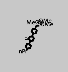 CCCc1ccc(-c2ccc(-c3ccc(CC[Si](OC)(OC)OC)cc3)cc2F)cc1